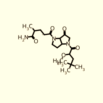 COC(CC(C)(C)C)C(=O)N1CC(=O)C2C1CCN2C(=O)[CH]CC(C)C(N)=O